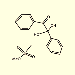 COS(C)(=O)=O.O=C(c1ccccc1)C(O)(O)c1ccccc1